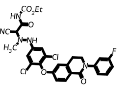 CCOC(=O)NC(=O)C(C#N)N(C)Nc1cc(Cl)c(Oc2ccc3c(c2)CCN(c2cccc(F)c2)C3=O)c(Cl)c1